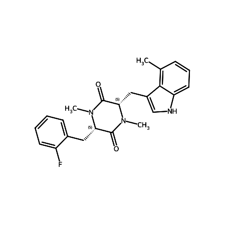 Cc1cccc2[nH]cc(C[C@H]3C(=O)N(C)[C@@H](Cc4ccccc4F)C(=O)N3C)c12